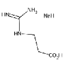 N=C(N)NCCC(=O)O.[NaH]